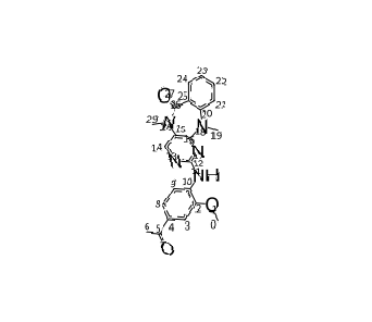 COc1cc(C(C)=O)ccc1Nc1ncc2c(n1)N(C)c1ccccc1C(=O)N2C